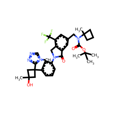 Cn1cnnc1C1(c2cccc(N3Cc4c(cc(CN(C(=O)OC(C)(C)C)C5(C)CCC5)cc4C(F)(F)F)C3=O)c2)CC(C)(O)C1